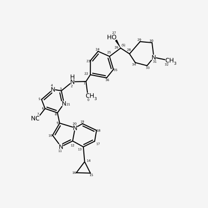 CC(Nc1ncc(C#N)c(-c2cnc3c(C4CC4)cccn23)n1)c1ccc([C@@H](O)C2CCN(C)CC2)cc1